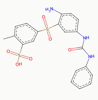 Cc1ccc(S(=O)(=O)c2cc(NC(=O)Nc3ccccc3)ccc2N)cc1S(=O)(=O)O